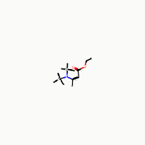 CCOC(=O)/C=C(/C)N([Si](C)(C)C)[Si](C)(C)C